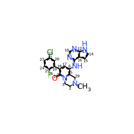 CN1CCn2c(c(Nc3ncnc4[nH]ccc34)cc(-c3cc(Cl)ccc3F)c2=O)C1